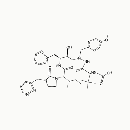 CC[C@H](C)[C@@H](C(=O)N[C@@H](Cc1ccccc1)[C@@H](O)CN(Cc1ccc(OC)cc1)NC(=O)[C@@H](NC(=O)O)C(C)(C)C)N1CCN(Cc2cccnn2)C1=O